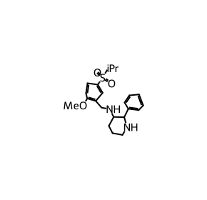 COc1ccc(S(=O)(=O)C(C)C)cc1CNC1CCCNC1c1ccccc1